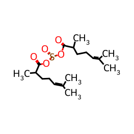 CC(C)=CCCC(C)C(=O)OS(=O)OC(=O)C(C)CCC=C(C)C